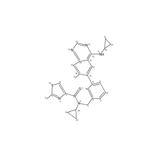 Cc1nc(C(=O)N(Cc2cccc(-c3cc4c(NC5CC5)ncnc4cc3C)c2)C2CC2)cs1